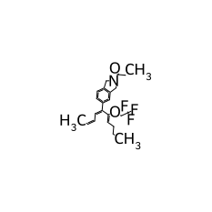 C\C=C/C=C(\C(=C\CCC)OCC(F)(F)F)c1ccc2c(c1)CN(C(=O)CC)C2